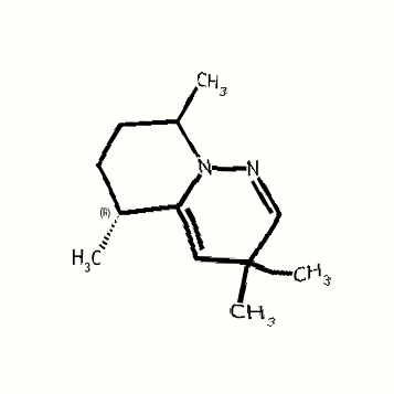 CC1CC[C@@H](C)C2=CC(C)(C)C=NN21